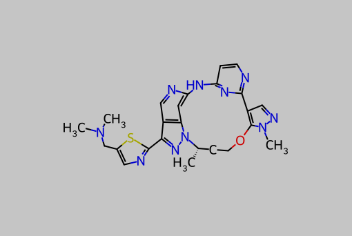 C[C@H]1CCOc2c(cnn2C)-c2nccc(n2)Nc2cc3c(cn2)c(-c2ncc(CN(C)C)s2)nn31